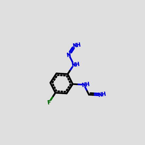 N=CNc1cc(F)ccc1NN=N